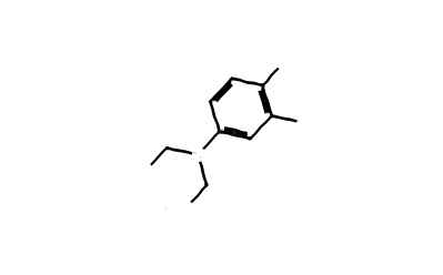 [C-]#[N+]CN(CC(=O)O)c1ccc(Cl)c(Cl)c1